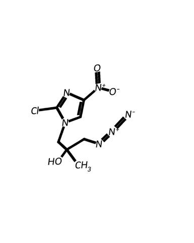 CC(O)(CN=[N+]=[N-])Cn1cc([N+](=O)[O-])nc1Cl